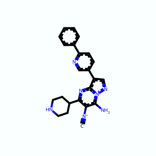 [C-]#[N+]c1c(C2CCNCC2)nc2c(-c3ccc(-c4ccccc4)nc3)cnn2c1N